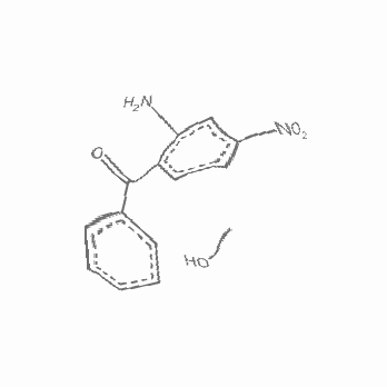 CO.Nc1cc([N+](=O)[O-])ccc1C(=O)c1ccccc1